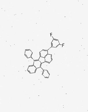 Fc1cc(F)cc(-c2ccc3c4c(cccc24)-c2c-3c(-c3ccccc3)c3ccccc3c2-c2ccccc2)c1